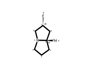 [2H][C@@]12CCCN1C[C@H](F)C2